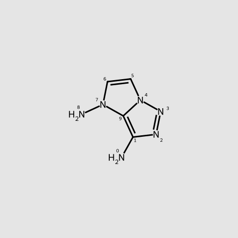 Nc1nnn2ccn(N)c12